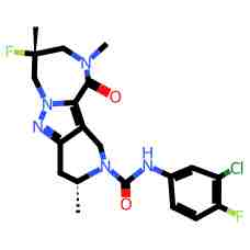 C[C@@H]1Cc2nn3c(c2CN1C(=O)Nc1ccc(F)c(Cl)c1)C(=O)N(C)C[C@@](C)(F)C3